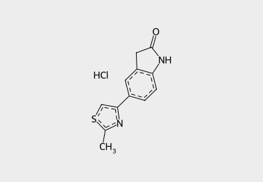 Cc1nc(-c2ccc3c(c2)CC(=O)N3)cs1.Cl